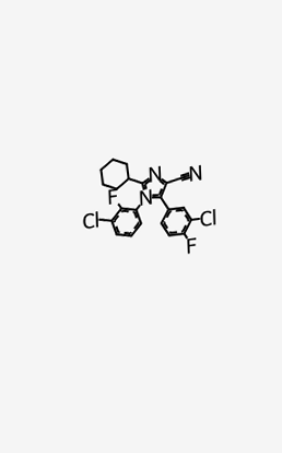 N#Cc1nc(C2CCCCC2)n(-c2cccc(Cl)c2F)c1-c1ccc(F)c(Cl)c1